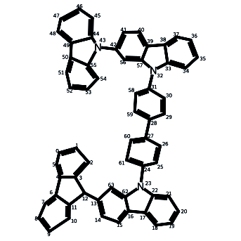 c1ccc2c(c1)-c1ccccc1C2c1ccc2c3ccccc3n(-c3ccc(-c4ccc(-n5c6ccccc6c6ccc(-n7c8ccccc8c8ccccc87)cc65)cc4)cc3)c2c1